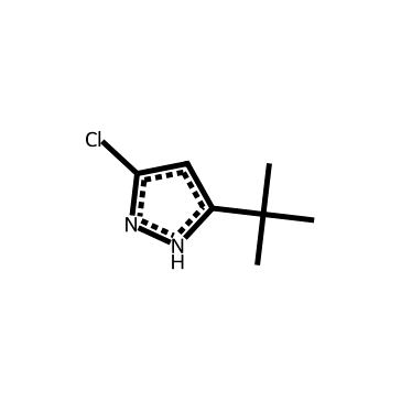 CC(C)(C)c1cc(Cl)n[nH]1